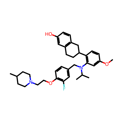 COc1ccc(C2CCc3cc(O)ccc3C2)c(N(Cc2ccc(OCCN3CCC(C)CC3)c(F)c2)C(C)C)c1